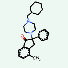 Cc1cccc2c1CC(c1ccccc1)(N1CCN(CC3CCCCC3)CC1)C2=O